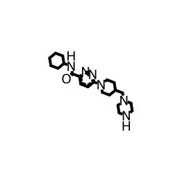 O=C(NC1CCCCC1)c1ccc(N2CCC(CN3CCNCC3)CC2)nn1